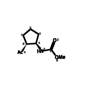 COC(=O)N[C@@H]1CCC[C@H]1C(C)=O